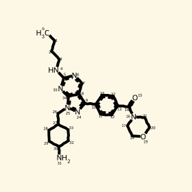 CCCCNc1ncc2c(-c3ccc(C(=O)N4CCOCC4)cc3)nn(CC3CCC(N)CC3)c2n1